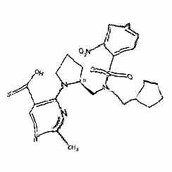 Cc1ncc(C(O)=S)c(N2CCC[C@H]2CN(CC2CCCC2)S(=O)(=O)c2ccccc2[N+](=O)[O-])n1